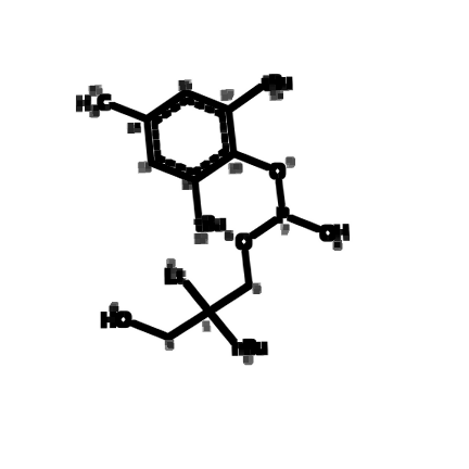 CCCCC(CC)(CO)COP(O)Oc1c(C(C)(C)C)cc(C)cc1C(C)(C)C